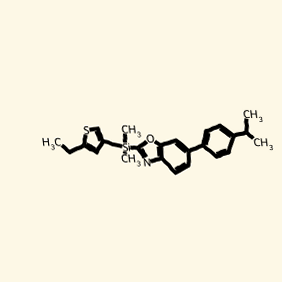 CCc1cc([Si](C)(C)c2nc3ccc(-c4ccc(C(C)C)cc4)cc3o2)cs1